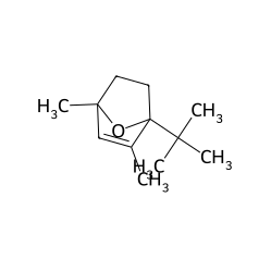 CC1=CC2(C)CCC1(C(C)(C)C)O2